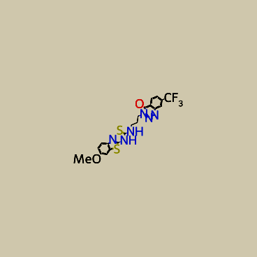 COc1ccc2nc(NC(=S)NCCCn3nnc4cc(C(F)(F)F)ccc4c3=O)sc2c1